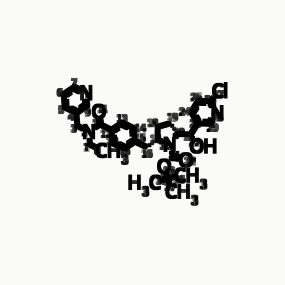 CCN(Cc1cccnc1)C(=O)c1ccc(C[C@@H]2CC[C@H]([C@H](O)c3ccc(Cl)nc3)N2C(=O)OC(C)(C)C)cc1